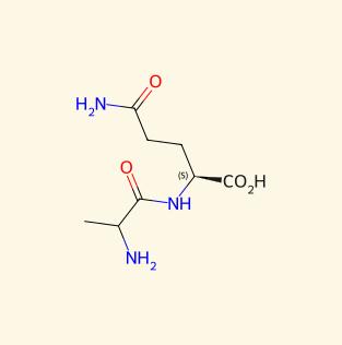 CC(N)C(=O)N[C@@H](CCC(N)=O)C(=O)O